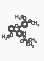 COc1ccc(C2Oc3cccc(OC)c3-c3ccc(NC(=O)N(C)C)cc32)cc1OC